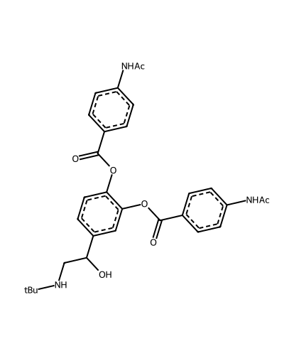 CC(=O)Nc1ccc(C(=O)Oc2ccc(C(O)CNC(C)(C)C)cc2OC(=O)c2ccc(NC(C)=O)cc2)cc1